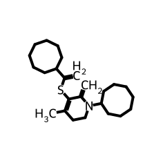 C=C(SC1=C(C)CCN(C2CCCCCCC2)C1=C)C1CCCCCCC1